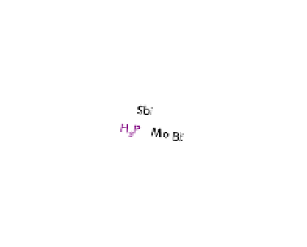 P.[Bi].[Mo].[Sb]